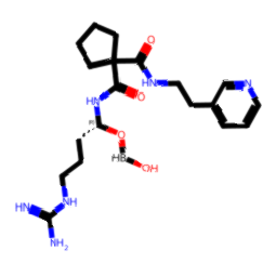 N=C(N)NCCC[C@H](NC(=O)C1(C(=O)NCCc2cccnc2)CCCC1)OBO